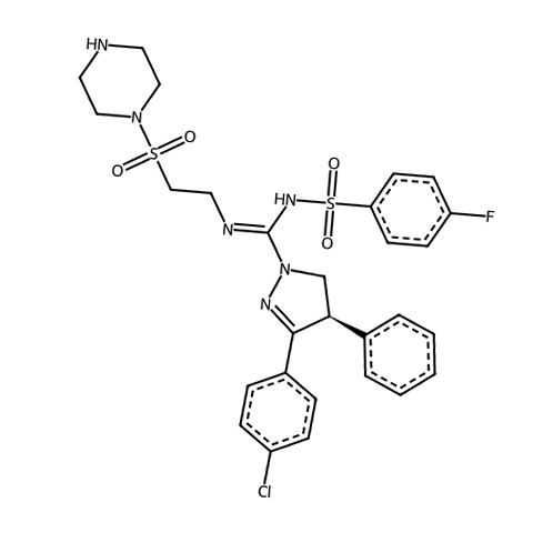 O=S(=O)(NC(=NCCS(=O)(=O)N1CCNCC1)N1C[C@@H](c2ccccc2)C(c2ccc(Cl)cc2)=N1)c1ccc(F)cc1